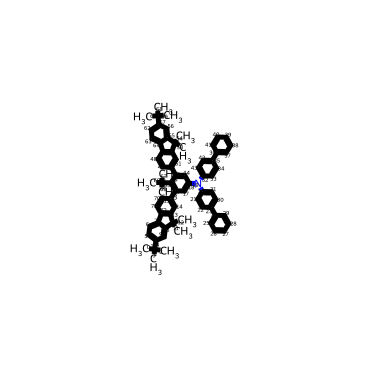 CC(C)(C)c1ccc2c(c1)C(C)(C)c1cc(-c3cc(N(c4ccc(-c5ccccc5)cc4)c4ccc(-c5ccccc5)cc4)cc(-c4ccc5c(c4)C(C)(C)c4cc(C(C)(C)C)ccc4-5)c3C(C)(C)C)ccc1-2